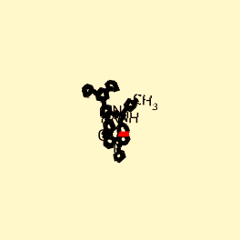 CC1C=CC(C2N=C(c3cc(-c4cc(C5=CC=CCC5)cc(C5C=CC=CC5)c4)ccc3C3C=Cc4c(oc5c4C4C6=CC=CCC6N(C6C=CCCC6)C4C=C5)C3)NC(C3CC=CCC3)N2)=CC1